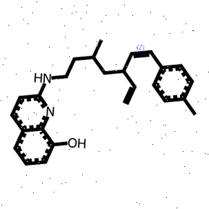 C=CC(/C=C\c1ccc(C)cc1)CC(C)CCNc1ccc2cccc(O)c2n1